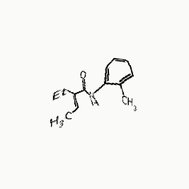 CC=C(CC)C(=O)Nc1ccccc1C